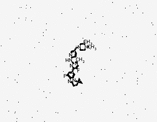 C=N/C=C(F)\C(=N/CNc1ccc(CN2CCN(C)[C@@H](C)C2)cn1)c1cc(F)c2nc3n(c2c1)C1(CC3)CC1